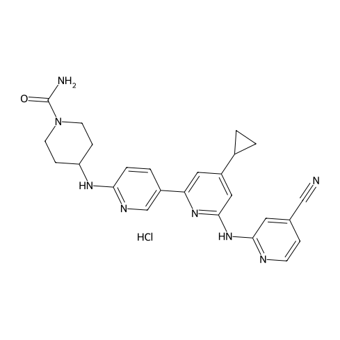 Cl.N#Cc1ccnc(Nc2cc(C3CC3)cc(-c3ccc(NC4CCN(C(N)=O)CC4)nc3)n2)c1